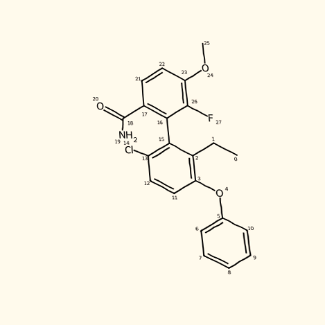 CCc1c(Oc2ccccc2)ccc(Cl)c1-c1c(C(N)=O)ccc(OC)c1F